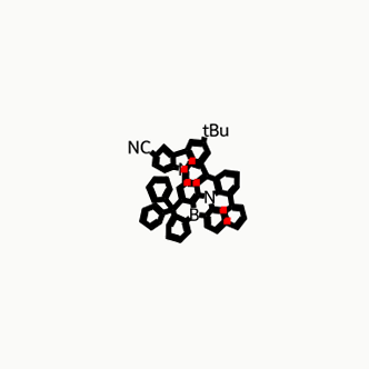 CC(C)(C)c1ccc2c(c1)c1cc(C#N)ccc1n2-c1cc2c3c(c1)C(c1ccccc1)(c1ccccc1)c1ccccc1B3c1ccccc1N2c1c(-c2ccccc2)cccc1-c1ccccc1